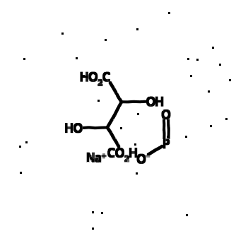 O=C(O)C(O)C(O)C(=O)O.O=P[O-].[Na+]